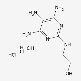 Cl.Cl.Cl.Nc1nc(NCCO)nc(N)c1N